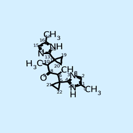 Cc1cnc(C2(C(C)C(=O)C(C)C3(c4ncc(C)[nH]4)CC3)CC2)[nH]1